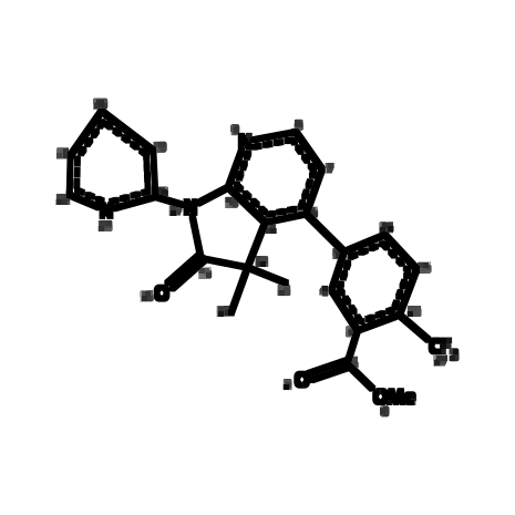 COC(=O)c1cc(-c2ccnc3c2C(C)(C)C(=O)N3c2ccccn2)ccc1C(F)(F)F